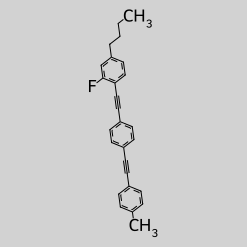 CCCCc1ccc(C#Cc2ccc(C#Cc3ccc(C)cc3)cc2)c(F)c1